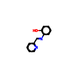 Oc1ccccc1/N=C/c1ccccn1